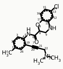 Cc1ccc(NC(=O)C2CNc3cc(Cl)ccc3O2)c(C#CCN(C)C)c1